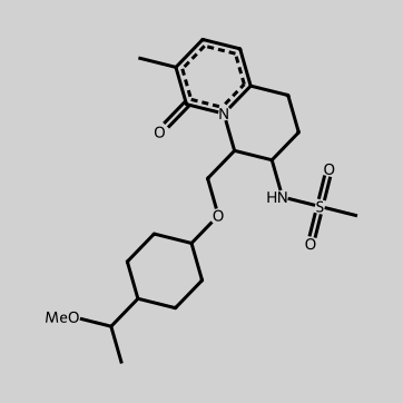 COC(C)C1CCC(OCC2C(NS(C)(=O)=O)CCc3ccc(C)c(=O)n32)CC1